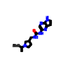 C=C(OC)N1CCC(CNC(=O)Nc2cnc3[nH]ccc3n2)C1